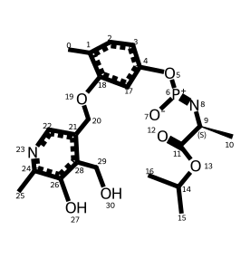 Cc1ccc(O[P+]([O-])=N[C@@H](C)C(=O)OC(C)C)cc1OCc1cnc(C)c(O)c1CO